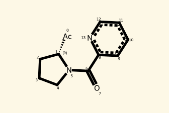 CC(=O)[C@H]1CCCN1C(=O)c1ccccn1